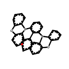 c1ccc(-c2c(B3c4ccccc4Oc4ccccc43)cccc2B2c3ccccc3Oc3ccccc32)cc1